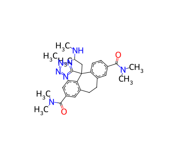 CN[C@@H](C)CC1(c2nnn(C)n2)c2ccc(C(=O)N(C)C)cc2CCc2cc(C(=O)N(C)C)ccc21